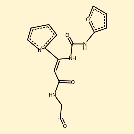 O=[C]CNC(=O)C=C(NC(=O)Nc1ccco1)c1ccccn1